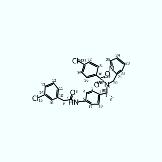 C[C@H](c1ccc(NC(=O)Cc2cccc(Cl)c2)cc1)N(Cc1ccccn1)S(=O)(=O)c1ccc(Cl)cc1